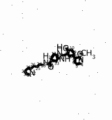 COc1ncccc1-c1ccc(O)c(C2Nc3ccc(C(=O)NCCCCc4ccccn4)cc3N2)c1